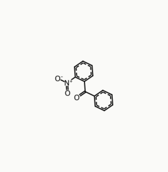 O=C(c1ccccc1)c1ccccc1[N+](=O)[O-]